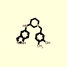 Cc1ccc(CN2CCCC(Nc3ccc4[nH]ncc4c3)C2)cc1O